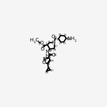 CCOC(=O)C1CN(C(=O)[C@H]2CC[C@H](N)CC2)CCC1NC(=O)c1cc(C2CC2)on1